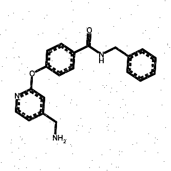 NCc1ccnc(Oc2ccc(C(=O)NCc3ccccc3)cc2)c1